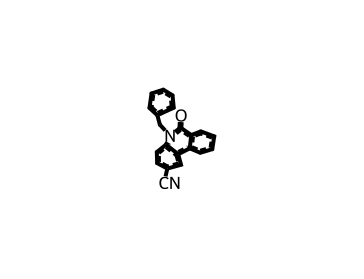 N#Cc1ccc2c(c1)c1ccccc1c(=O)n2Cc1ccccc1